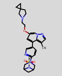 CCCS(=O)(=O)N1C2CC1CN(c1ccc(-c3cc(OCCN4CCC5(CC5)C4)cn4ncc(C#N)c34)cn1)C2